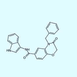 O=C(Nc1c[nH]c2ccccc12)c1ccc2c(c1)N(Cc1ccccc1)C(=O)CO2